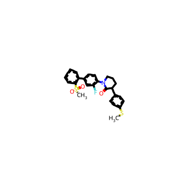 CSc1[c]cc(C2CCCN(c3ccc(-c4ccccc4S(C)(=O)=O)cc3F)C2=O)cc1